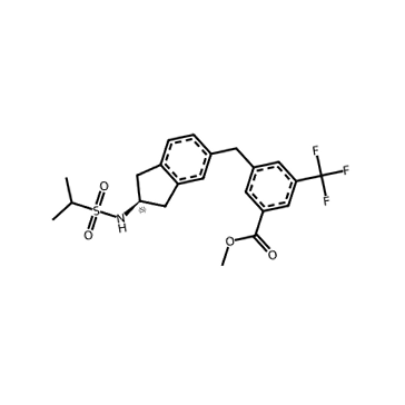 COC(=O)c1cc(Cc2ccc3c(c2)C[C@@H](NS(=O)(=O)C(C)C)C3)cc(C(F)(F)F)c1